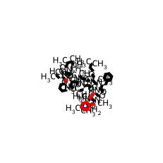 CC[C@H](NC(=O)[C@H](Cc1ccccc1)N(C)C(=O)[C@H](COCCC(C)C)N(C)C(=O)[C@H](CC(C)C)NC(=O)[C@H](C)N(C)C(=O)[C@H](NC(=O)[C@H](CC(C)C)N(C)C(=O)N(C)C(=O)[C@@H](C)[C@@H](C)O)C(=O)N1CCCCC1)C(=O)N(C)[C@@H](Cc1ccccc1)C(=O)N(C)[C@@H](CC(C)C)C(N)=O